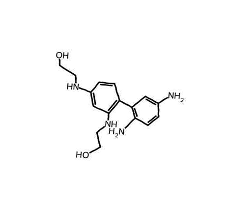 Nc1ccc(N)c(-c2ccc(NCCO)cc2NCCO)c1